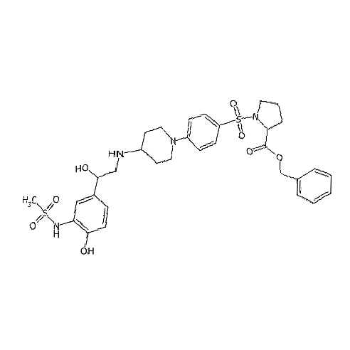 CS(=O)(=O)Nc1cc(C(O)CNC2CCN(c3ccc(S(=O)(=O)N4CCCC4C(=O)OCc4ccccc4)cc3)CC2)ccc1O